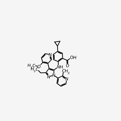 CCc1nn(-c2cccnc2C)c(Nc2ccc(C3CC3)cc2C(=O)O)c1-c1cnccc1OC